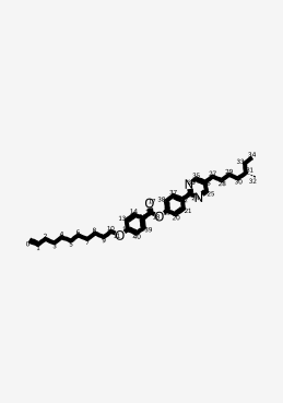 C=CCCCCCCCCCOc1ccc(C(=O)Oc2ccc(-c3ncc(CCCC[C@@H](C)CC)cn3)cc2)cc1